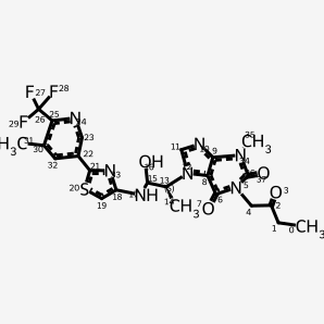 CCC(=O)Cn1c(=O)c2c(ncn2[C@@H](C)C(O)Nc2csc(-c3cnc(C(F)(F)F)c(C)c3)n2)n(C)c1=O